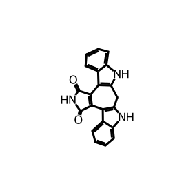 O=C1NC(=O)C2=C1c1c([nH]c3ccccc13)Cc1[nH]c3ccccc3c12